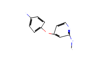 CCCCNc1cc(Oc2ccc(N)cc2)ccn1